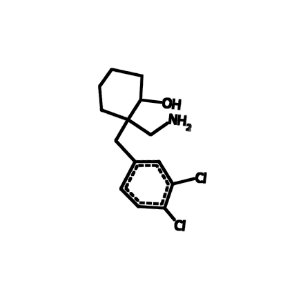 NCC1(Cc2ccc(Cl)c(Cl)c2)CCCCC1O